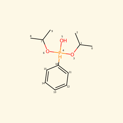 CC(C)O[PH](O)(OC(C)C)c1ccccc1